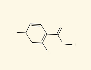 COC(=O)C1=C(Cl)CC(O)C=C1